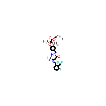 CCOC(=O)C(C)(C)Oc1ccc(CNC(=O)c2sc(-c3cccc(F)c3C(F)(F)F)nc2C)cc1